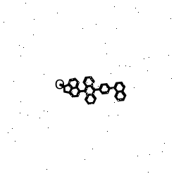 O=C1Cc2ccc(-c3c4c(c(-c5ccc(-c6cccc7ccccc67)cc5)c5ccccc35)=CCCC=4)c3cccc1c23